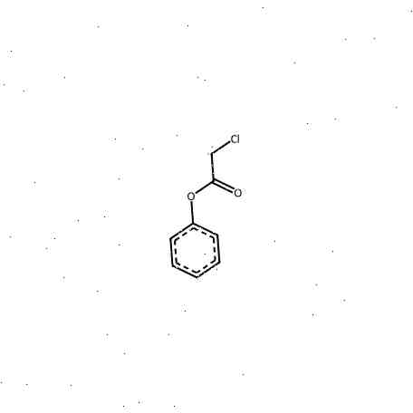 O=C([CH]Cl)Oc1ccccc1